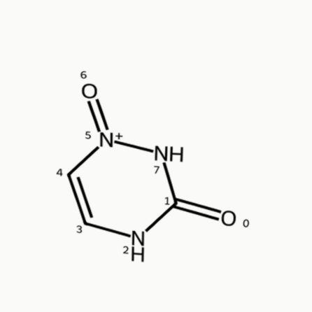 O=c1[nH]cc[n+](=O)[nH]1